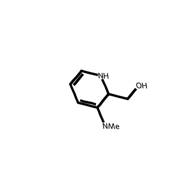 CNC1=CC=CN[C]1CO